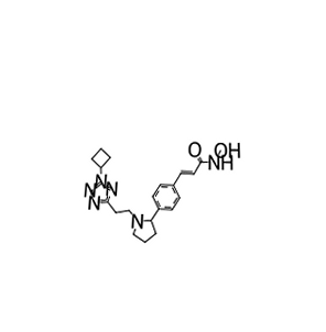 O=C(C=Cc1ccc(C2CCCN2CCc2nnn(C3CCC3)n2)cc1)NO